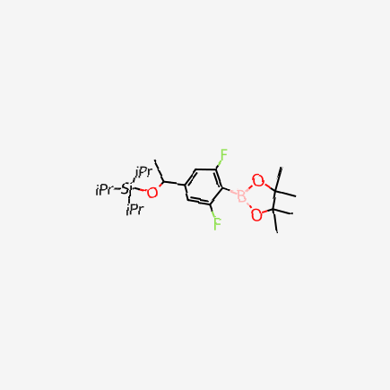 CC(O[Si](C(C)C)(C(C)C)C(C)C)c1cc(F)c(B2OC(C)(C)C(C)(C)O2)c(F)c1